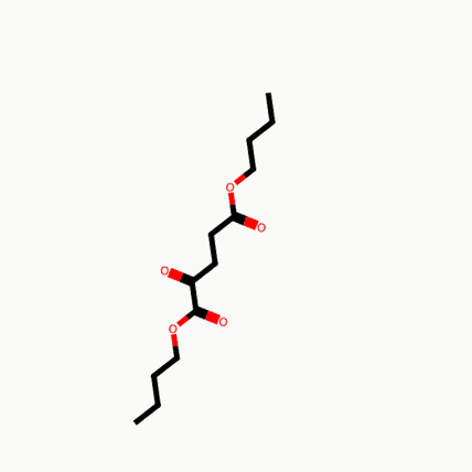 CCCCOC(=O)CCC(=O)C(=O)OCCCC